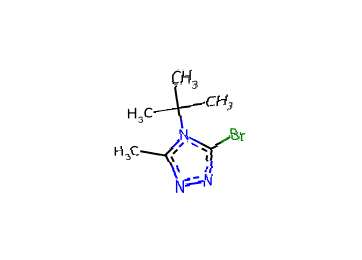 Cc1nnc(Br)n1C(C)(C)C